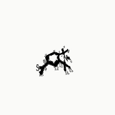 CN1C(C)(C)c2ccc(C3CS3)cc2C1(C)C